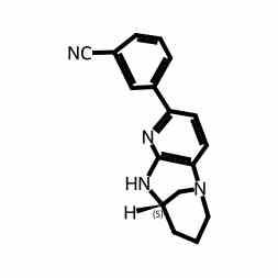 N#Cc1cccc(-c2ccc3c(n2)N[C@H]2CCCN3C2)c1